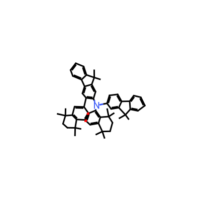 CC1(C)CCC(C)(C)c2cc(-c3cc4c(cc3N(c3ccc5c(c3)C(C)(C)c3ccccc3-5)c3cccc5c3C(C)(C)CCC5(C)C)C(C)(C)c3ccccc3-4)ccc21